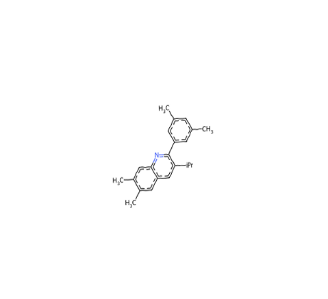 Cc1cc(C)cc(-c2nc3cc(C)c(C)cc3cc2C(C)C)c1